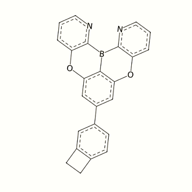 c1cnc2c(c1)Oc1cc(-c3ccc4c(c3)CC4)cc3c1B2c1ncccc1O3